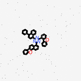 c1ccc(-c2ccc(-c3nc(-c4cccc5c4ccc4c6ccccc6oc54)nc(-c4cccc5oc6ccccc6c45)n3)c3ccccc23)cc1